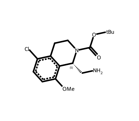 COc1ccc(Cl)c2c1[C@@H](CN)N(C(=O)OC(C)(C)C)CC2